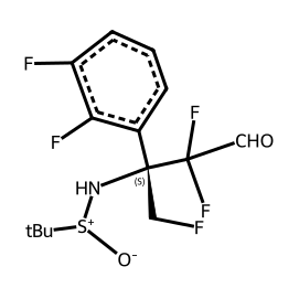 CC(C)(C)[S+]([O-])N[C@](CF)(c1cccc(F)c1F)C(F)(F)C=O